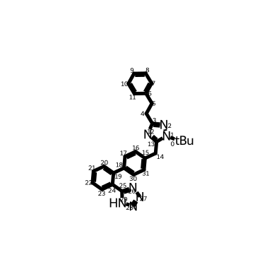 CC(C)(C)n1nc(CCc2ccccc2)nc1Cc1ccc(-c2ccccc2-c2nnn[nH]2)cc1